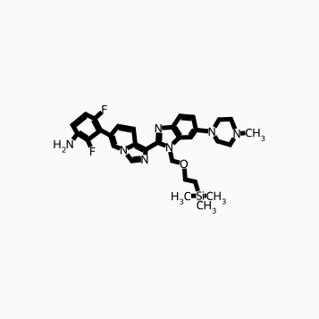 CN1CCN(c2ccc3nc(-c4ncn5cc(-c6c(F)ccc(N)c6F)ccc45)n(COCC[Si](C)(C)C)c3c2)CC1